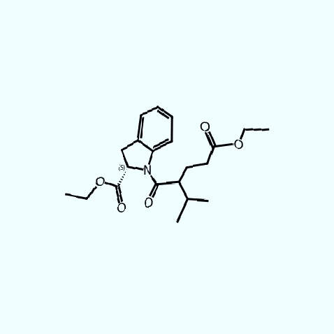 CCOC(=O)CCC(C(=O)N1c2ccccc2C[C@H]1C(=O)OCC)C(C)C